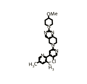 COC1CCN(c2ncc3c(n2)CCN(c2cc(-c4ncc(C)cc4C)c(Cl)cn2)C3)CC1